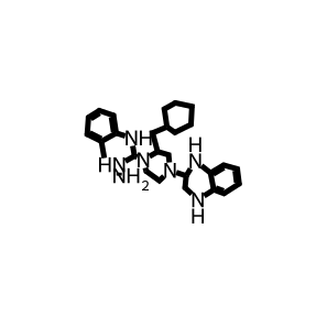 Cc1ccccc1NC(NN)N1CCN(C2CNc3ccccc3N2)CC1CC1CCCCC1